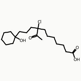 CC(=O)C(Cl)(CCCCCCC(=O)O)CCCC1(O)CCCCC1